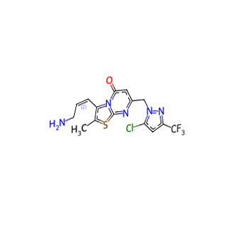 Cc1sc2nc(Cn3nc(C(F)(F)F)cc3Cl)cc(=O)n2c1/C=C\CN